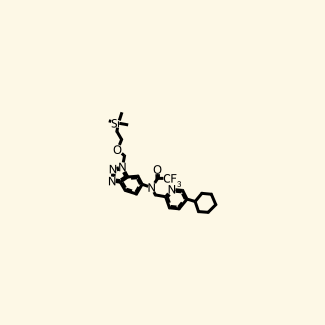 C[Si](C)(C)CCOCn1nnc2ccc(N(Cc3ccc(C4CCCCC4)cn3)C(=O)C(F)(F)F)cc21